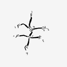 C[Si](F)(F)[Si](F)(F)F